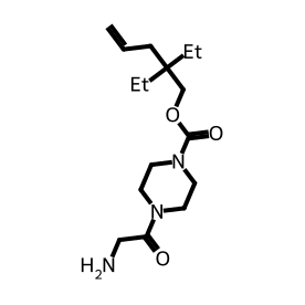 C=CCC(CC)(CC)COC(=O)N1CCN(C(=O)CN)CC1